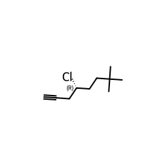 C#CC[C@H](Cl)CCC(C)(C)C